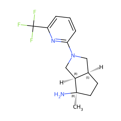 C[C@@]1(N)CC[C@@H]2CN(c3cccc(C(F)(F)F)n3)C[C@@H]21